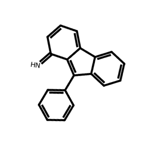 N=C1C=CC=C2C1=C(c1ccccc1)c1ccccc12